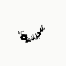 CC(CNCC(=O)Nc1ccc(-c2cnn(C)c2)cn1)c1ccc(C#N)cc1